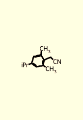 Cc1cc(C(C)C)cc(C)c1CC#N